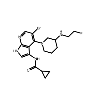 O=C(Nc1c[nH]c2ncc(Br)c(N3CCCC(NCCF)C3)c12)C1CC1